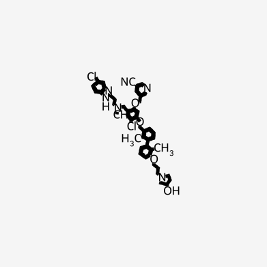 Cc1c(COc2cc(OCc3cncc(C#N)c3)c(CN(C)CCc3nc4cc(Cl)ccc4[nH]3)cc2Cl)cccc1-c1cccc(OCCCN2CCC(O)C2)c1C